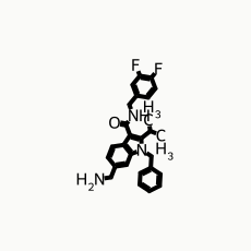 CC(C)c1c(C(=O)NCc2ccc(F)c(F)c2)c2ccc(CN)cc2n1Cc1ccccc1